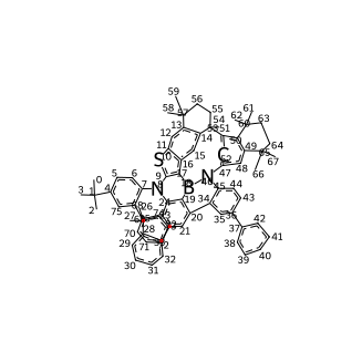 CC(C)(C)c1ccc(N2c3sc4cc5c6cc4c3B3c4c(cc7c(c42)C(C)(C)c2ccccc2-7)-c2cc(-c4ccccc4)ccc2N3c2cc3c(c(c2)C6(C)CCC5(C)C)C(C)(C)CCC3(C)C)c(-c2ccccc2)c1